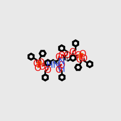 O=C(N[C@@H](Cc1ccc(OP(=O)(OCc2ccccc2)OCc2ccccc2)c(OCc2ccccc2)c1)C(=O)N[C@@H](Cc1ccc(OP(=O)(OCc2ccccc2)OCc2ccccc2)c(OCc2ccccc2)c1)C(=O)OCc1ccccc1)OCc1ccccc1